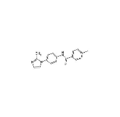 Cc1nccn1-c1ccc(NC(=O)c2ccc(F)cc2)cc1